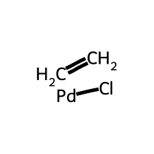 C=C.[Cl][Pd]